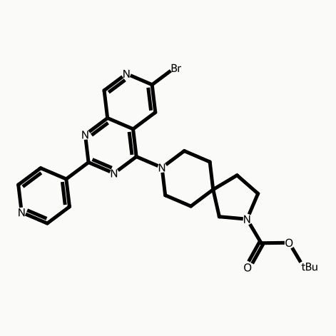 CC(C)(C)OC(=O)N1CCC2(CCN(c3nc(-c4ccncc4)nc4cnc(Br)cc34)CC2)C1